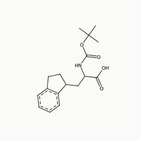 CC(C)(C)OC(=O)NC(CC1CCc2ccccc21)C(=O)O